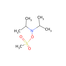 CC(C)N(OS(C)(=O)=O)C(C)C